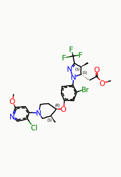 COC(=O)C[C@H]1[C@H](C)C(C(F)(F)F)=NN1c1ccc(O[C@@H]2CCN(c3cc(OC)ncc3Cl)C[C@@H]2C)cc1Br